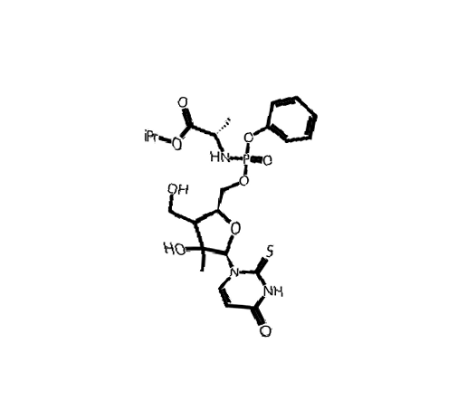 CC(C)OC(=O)[C@H](C)NP(=O)(OC[C@H]1O[C@@H](n2ccc(=O)[nH]c2=S)C(C)(O)C1CO)Oc1ccccc1